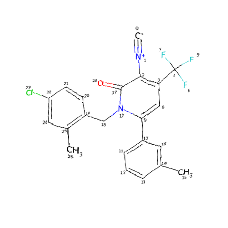 [C-]#[N+]c1c(C(F)(F)F)cc(-c2cccc(C)c2)n(Cc2ccc(Cl)cc2C)c1=O